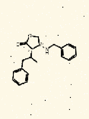 CC(Cc1ccccc1)[C@H]1C(=O)OC[C@@H]1NCc1ccccc1